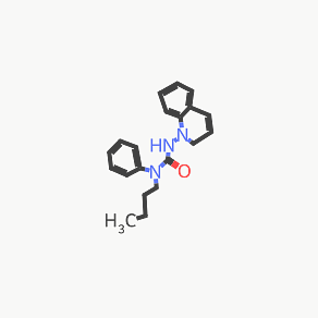 CCCCN(C(=O)NN1CC=Cc2ccccc21)c1ccccc1